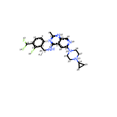 Cc1nc(N[C@H](C)c2cccc(C(F)F)c2F)c2cc(N3CCN(C4CC4)CC3)ncc2n1